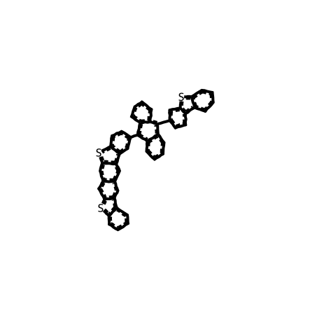 c1ccc2c(c1)sc1cc(-c3c4ccccc4c(-c4ccc5sc6cc7cc8sc9ccccc9c8cc7cc6c5c4)c4ccccc34)ccc12